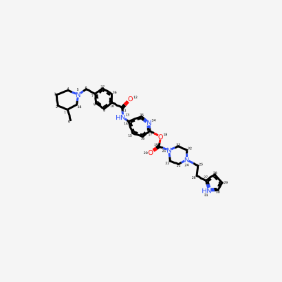 CC1CCCN(Cc2ccc(C(=O)Nc3ccc(OC(=O)N4CCN(CCc5ccc[nH]5)CC4)nc3)cc2)C1